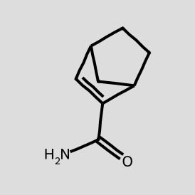 NC(=O)C1=CC2CCC1C2